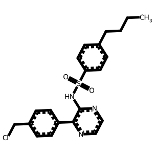 CCCCc1ccc(S(=O)(=O)Nc2nccnc2-c2ccc(CCl)cc2)cc1